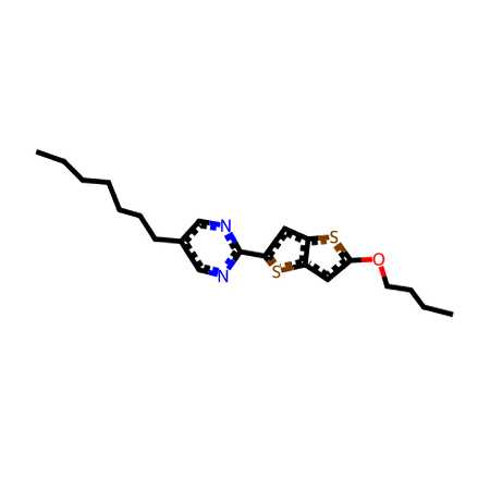 CCCCCCCc1cnc(-c2cc3sc(OCCCC)cc3s2)nc1